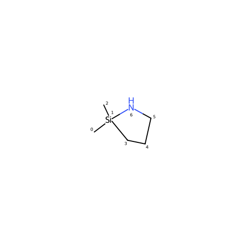 C[Si]1(C)CCCN1